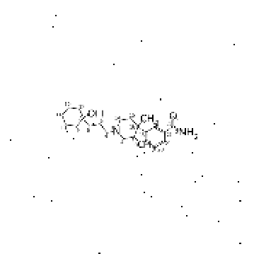 CC1CN(CCCC2(O)CCCCC2)CCC1(C)c1cccc(C(N)=O)c1